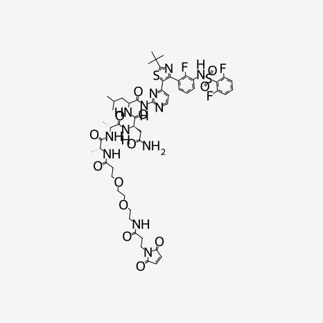 CC(C)CC(NC(=O)[C@@H](CC(N)=O)NC(=O)[C@@H](C)NC(=O)[C@@H](C)NC(=O)CCOCCOCCNC(=O)CCN1C(=O)C=CC1=O)C(=O)Nc1nccc(-c2sc(C(C)(C)C)nc2-c2cccc(NS(=O)(=O)c3c(F)cccc3F)c2F)n1